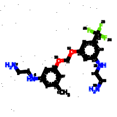 Cc1cc(NCCN)cc(OCOc2cc(NCCN)cc(C(F)(F)F)c2)c1